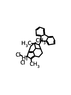 CC1=C2CCC3C(C4c5ccccc5-c5ccccc54)CCC(=C2C3C(C)C)[CH]1[Hf]([Cl])[Cl]